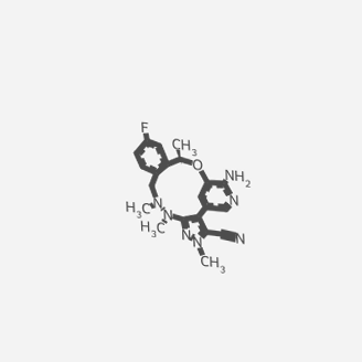 C[C@H]1Oc2cc(cnc2N)-c2c(nn(C)c2C#N)N(C)N(C)Cc2ccc(F)cc21